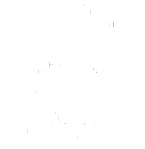 C=C(C)/C(=C(Cl)\C(C)=C(/N)c1ccc(C)c(C)c1)[C@H](OC(C)(C)C)C(=O)OC